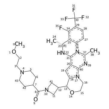 COCCN1CCC(C(=O)N2CC(C3OCCn4c3cc3c(N[C@H](C)c5cccc(C(F)(F)F)c5F)nc(C)nc34)C2)CC1